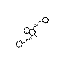 Cc1cc(OCCc2ccccc2)c2ccccc2c1OCCc1ccccc1